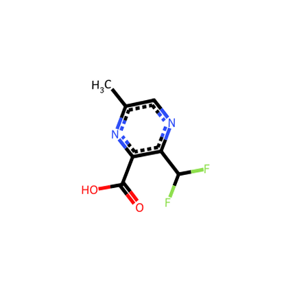 Cc1cnc(C(F)F)c(C(=O)O)n1